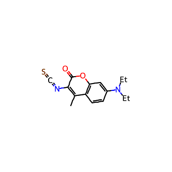 CCN(CC)c1ccc2c(C)c(N=C=S)c(=O)oc2c1